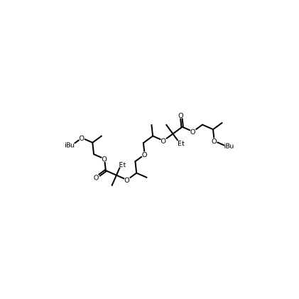 CCC(C)OC(C)COC(=O)C(C)(CC)OC(C)COCC(C)OC(C)(CC)C(=O)OCC(C)OC(C)CC